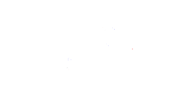 CNC(=O)C(CCCCNC(=O)CCSC)N(CCO)CCO